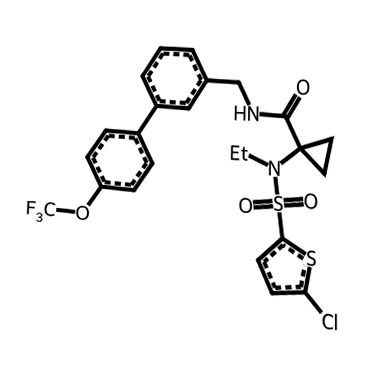 CCN(C1(C(=O)NCc2cccc(-c3ccc(OC(F)(F)F)cc3)c2)CC1)S(=O)(=O)c1ccc(Cl)s1